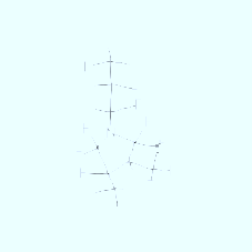 FC(F)(F)C(F)(F)C(F)(F)N1C(F)(F)C(F)(C(F)(F)F)C(F)(C(F)(F)F)C1(F)F